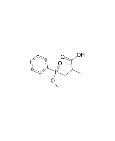 COP(=O)(CC(C)C(=O)O)c1ccccc1